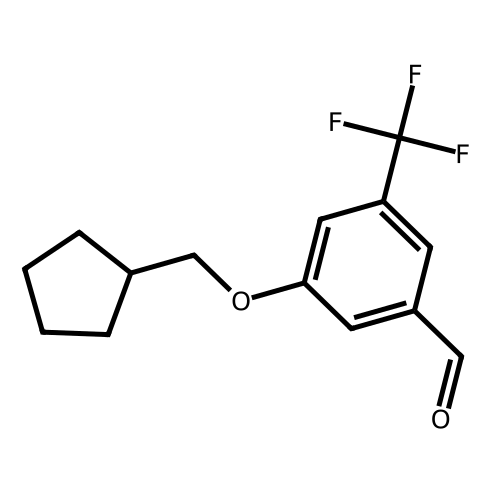 O=Cc1cc(OCC2CCCC2)cc(C(F)(F)F)c1